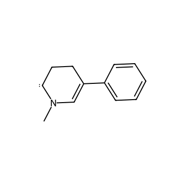 CN1[C]CCC(c2ccccc2)=C1